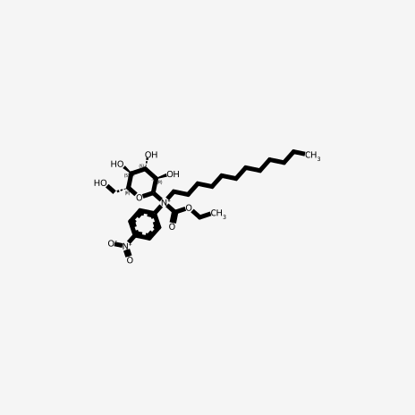 CCCCCCCCCCCC[N+](C(=O)OCC)(c1ccc([N+](=O)[O-])cc1)C1O[C@H](CO)[C@@H](O)[C@H](O)[C@H]1O